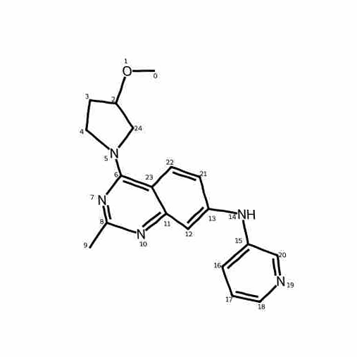 COC1CCN(c2nc(C)nc3cc(Nc4cccnc4)ccc23)C1